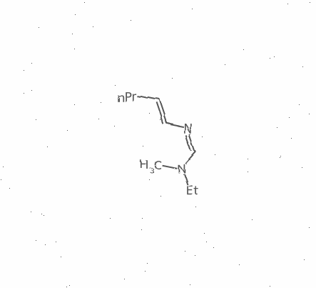 CCC/C=C/N=C\N(C)CC